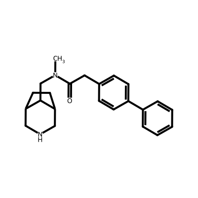 CN(CC1C2CCC1CNC2)C(=O)Cc1ccc(-c2ccccc2)cc1